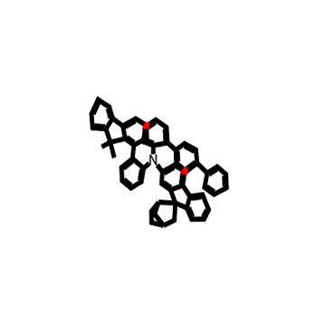 CC1(C)c2ccccc2-c2cccc(-c3ccccc3N(c3ccc4c(c3)C3(CC5CCC3C5)c3ccccc3-4)c3ccccc3-c3ccc(-c4ccccc4)cc3)c21